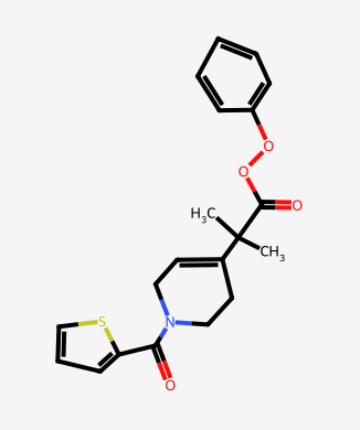 CC(C)(C(=O)OOc1ccccc1)C1=CCN(C(=O)c2cccs2)CC1